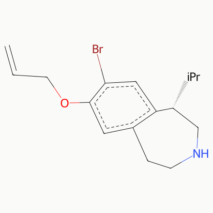 C=CCOc1cc2c(cc1Br)[C@H](C(C)C)CNCC2